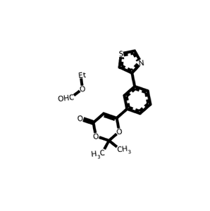 CC1(C)OC(=O)C=C(c2cccc(-c3cscn3)c2)O1.CCOC=O